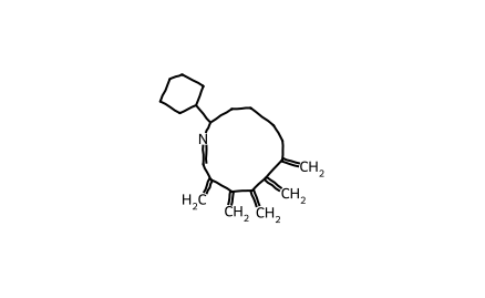 C=C1C=NC(C2CCCCC2)CCCCC(=C)C(=C)C(=C)C1=C